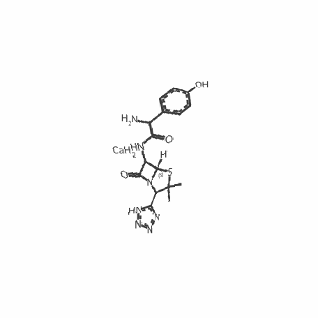 CC1(C)S[C@H]2C(NC(=O)C(N)c3ccc(O)cc3)C(=O)N2C1c1nnn[nH]1.[CaH2]